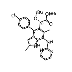 COC(=O)[C@@H](OC(C)(C)C)c1c(C)c(Nc2ncccn2)c2[nH]c(C)cc2c1-c1ccc(Cl)cc1